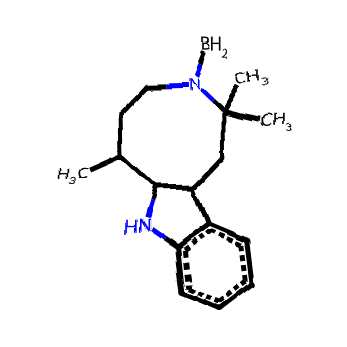 BN1CCC(C)C2Nc3ccccc3C2CC1(C)C